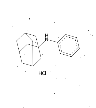 Cl.c1ccc(NC23CC4CC(CC(C4)C2)C3)cc1